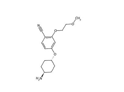 COCCOc1cc(O[C@H]2CC[C@H](N)CC2)ccc1C#N